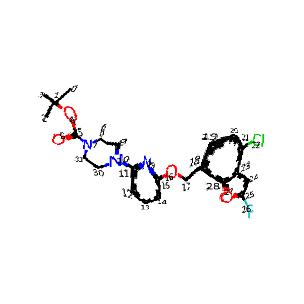 CC(C)(C)OC(=O)N1CCN(c2cccc(OCc3ccc(Cl)c4cc(F)oc34)n2)CC1